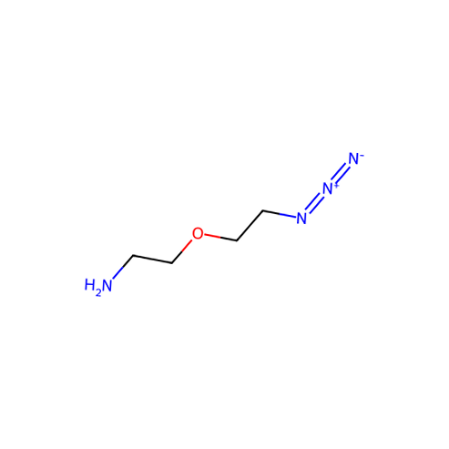 [N-]=[N+]=NCCOCCN